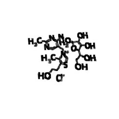 Cc1ncc(C[n+]2csc(CCO)c2C)c(N)n1.O=C1O[C@H]([C@@H](O)CO)C(O)=C1O.[Cl-]